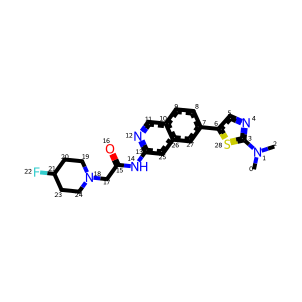 CN(C)c1ncc(-c2ccc3cnc(NC(=O)CN4CCC(F)CC4)cc3c2)s1